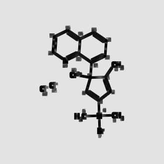 CC1=CC([Si](C)(C)Br)=C[C]1([Cr+2])c1cccc2cccnc12.[Cl-].[Cl-]